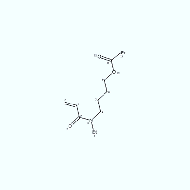 C=CC(=O)N(CC)CCCCOC(=O)C(C)C